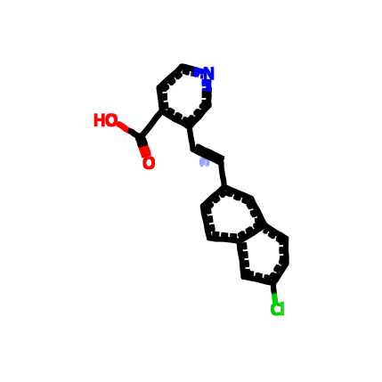 O=C(O)c1ccncc1/C=C/c1ccc2cc(Cl)ccc2c1